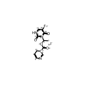 CC(OC(=O)[C+]1C=NC=CC1)n1c(=O)[nH]cc(F)c1=O.[I-]